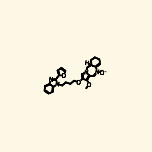 COc1c(OCCCCn2c(-c3ccco3)nc3ccccc32)cn2c1C=[N+]([O-])C1=CCCC[C@H]1C2